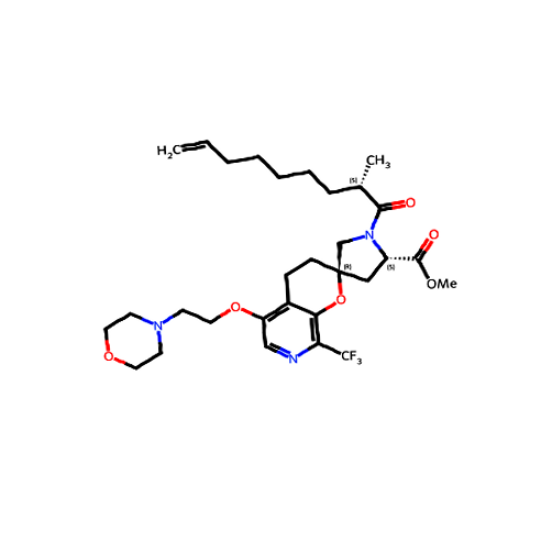 C=CCCCCC[C@H](C)C(=O)N1C[C@@]2(CCc3c(OCCN4CCOCC4)cnc(C(F)(F)F)c3O2)C[C@H]1C(=O)OC